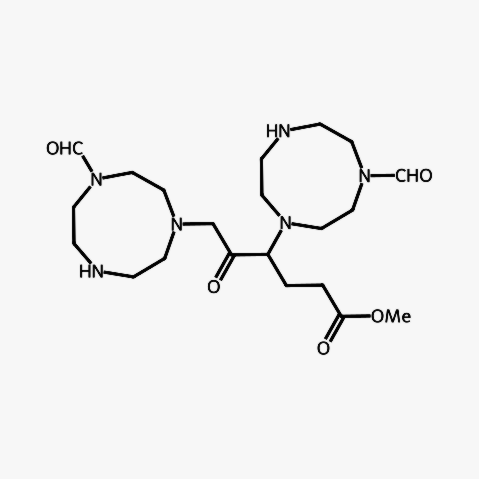 COC(=O)CCC(C(=O)CN1CCNCCN(C=O)CC1)N1CCNCCN(C=O)CC1